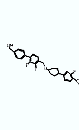 CCOc1ccc(C2CCC(OCc3ccc(-c4ccc(CO)cc4)c(F)c3F)CC2)cc1F